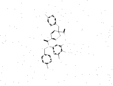 COc1ccc(CN(C(=O)C2=CCC(Cc3ccc(Cl)cc3)(C(N)=O)C=C2)c2cc(OC)c(OC)c(OC)c2)cc1